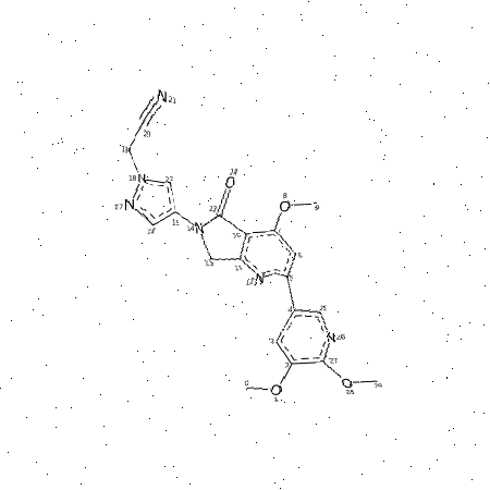 COc1cc(-c2cc(OC)c3c(n2)CN(c2cnn(CC#N)c2)C3=O)cnc1OC